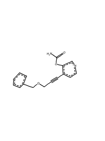 NC(=O)Oc1cnccc1C#CCOCc1ccccc1